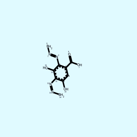 BN=Nc1c(C(=O)O)cc(O)c(/N=N\B)c1O